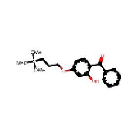 CO[Si](CCCOc1ccc(C(=O)c2ccccc2)c(O)c1)(OC)OC